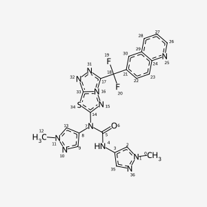 Cn1cc(NC(=O)N(c2cnn(C)c2)c2nn3c(C(F)(F)c4ccc5ncccc5c4)nnc3s2)cn1